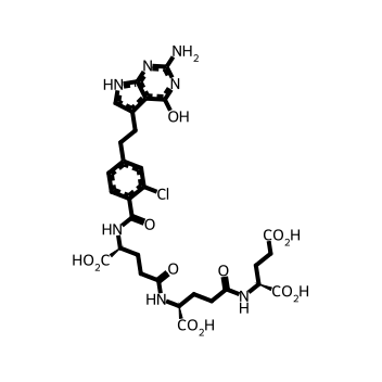 Nc1nc(O)c2c(CCc3ccc(C(=O)N[C@@H](CCC(=O)N[C@@H](CCC(=O)N[C@@H](CCC(=O)O)C(=O)O)C(=O)O)C(=O)O)c(Cl)c3)c[nH]c2n1